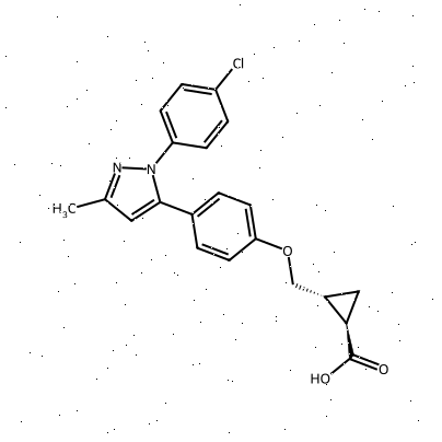 Cc1cc(-c2ccc(OC[C@@H]3C[C@H]3C(=O)O)cc2)n(-c2ccc(Cl)cc2)n1